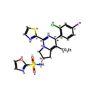 CCOC(=O)C1=C2C[C@H](NS(=O)(=O)c3ncco3)CN2C(c2nccs2)=N[C@H]1c1ccc(I)cc1Cl